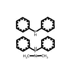 [CH3][Ni][CH3].c1ccc(Pc2ccccc2)cc1.c1ccc(Pc2ccccc2)cc1